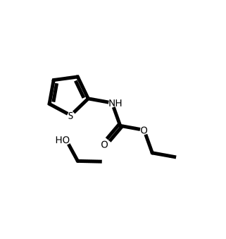 CCO.CCOC(=O)Nc1cccs1